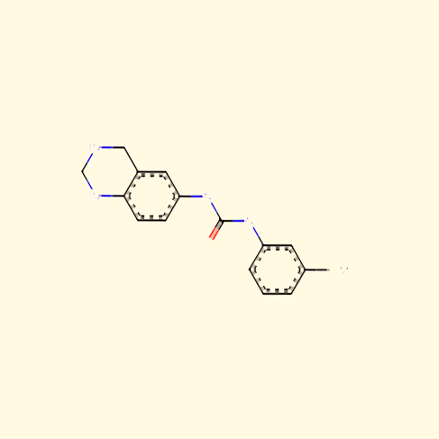 COc1cccc(NC(=O)Nc2ccc3c(c2)CNCN3)c1